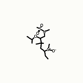 CCC(CC(C)(C)C(CN(C)S(C)(=O)=O)OC(C)C)[S+](C)[O-]